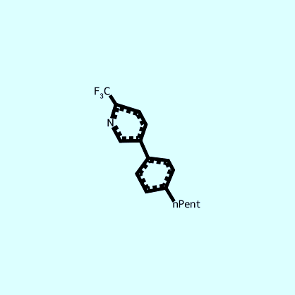 CCCCCc1ccc(-c2ccc(C(F)(F)F)nc2)cc1